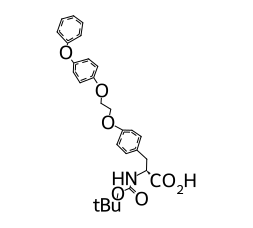 CC(C)(C)OC(=O)N[C@@H](Cc1ccc(OCCOc2ccc(Oc3ccccc3)cc2)cc1)C(=O)O